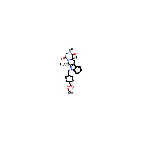 CCCN1CC(=O)N2[C@@H](Cc3c(n(Cc4ccc(C(=O)OC(C)(C)C)cc4)c4ccccc34)[C@@H]2C)C1=O